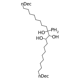 CCCCCCCCCCCCCCCCCCC(O)C(O)C(O)(P)CCCCCCCCCCCCCCCCCC